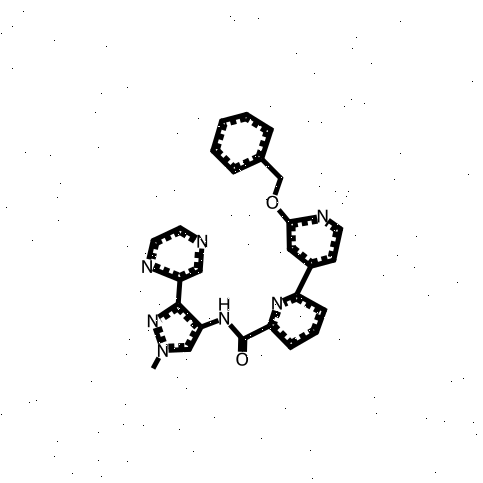 Cn1cc(NC(=O)c2cccc(-c3ccnc(OCc4ccccc4)c3)n2)c(-c2cnccn2)n1